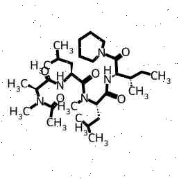 CC[C@H](C)[C@H](NC(=O)[C@H](CC(C)C)N(C)C(=O)[C@H](CC(C)C)NC(=O)[C@H](C)N(C)C(C)=O)C(=O)N1CCCCC1